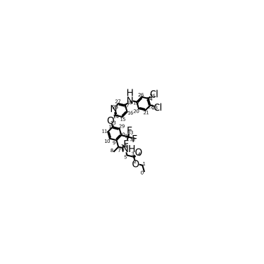 CCOC(=O)CNC(C)c1ccc(Oc2ccc(Nc3ccc(Cl)c(Cl)c3)cn2)cc1C(F)(F)F